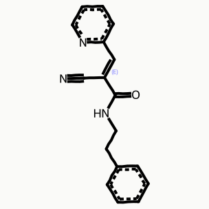 N#C/C(=C\c1ccccn1)C(=O)NCCc1ccccc1